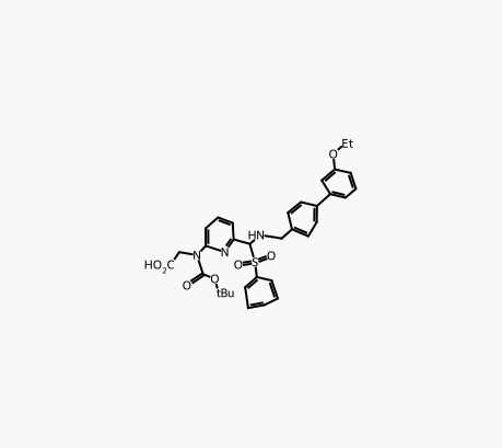 CCOc1cccc(-c2ccc(CNC(c3cccc(N(CC(=O)O)C(=O)OC(C)(C)C)n3)S(=O)(=O)c3ccccc3)cc2)c1